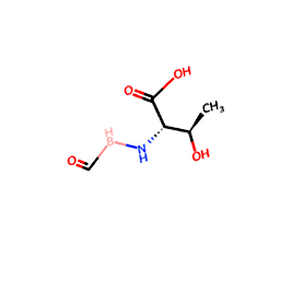 C[C@@H](O)[C@H](NBC=O)C(=O)O